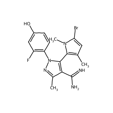 Cc1cc(Br)n(C)c1-c1c(C(=N)N)c(C)nn1-c1ccc(O)cc1F